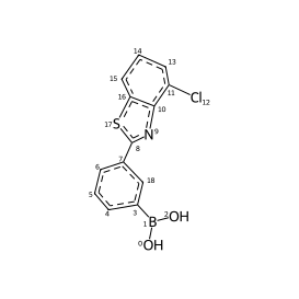 OB(O)c1cccc(-c2nc3c(Cl)cccc3s2)c1